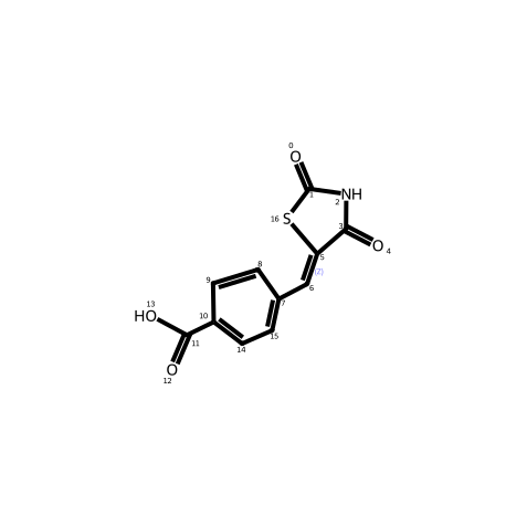 O=C1NC(=O)/C(=C/c2ccc(C(=O)O)cc2)S1